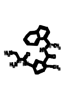 Cc1ccc(NC(=O)[C@@H](N)CN)cc1C(=O)N[C@@H](C)c1cccc2ccccc12